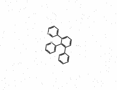 [c]1ccnc(-c2c(-c3ccccc3)cccc2-c2cccnc2)c1